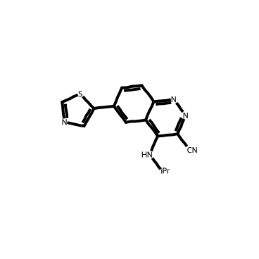 CC(C)Nc1c(C#N)nnc2ccc(-c3cncs3)cc12